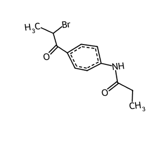 CCC(=O)Nc1ccc(C(=O)C(C)Br)cc1